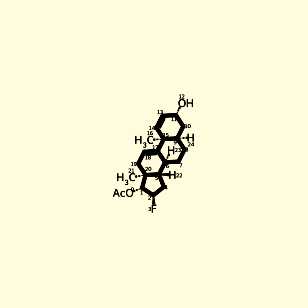 CC(=O)O[C@H]1[C@H](F)C[C@H]2[C@@H]3CC[C@@H]4C[C@@H](O)C=C[C@]4(C)C3=CC[C@@]21C